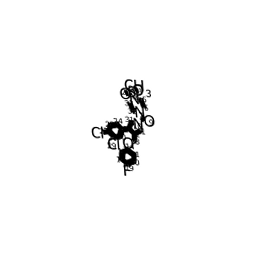 CS(=O)(=O)N1CCN(C(=O)N2CC(COc3ccc(F)cc3)C(c3ccc(Cl)c(Cl)c3)C2)CC1